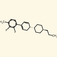 CCC[C@H]1CC[C@H](C2C=CC(c3ccc(C)c(F)c3F)=CC2)CC1